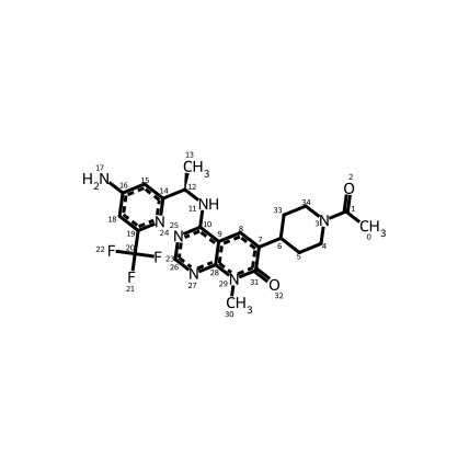 CC(=O)N1CCC(c2cc3c(N[C@H](C)c4cc(N)cc(C(F)(F)F)n4)ncnc3n(C)c2=O)CC1